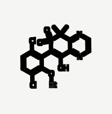 CCOc1c(Cl)ccc(Cl)c1C1=C(O)c2nccnc2C(C)(C)S1(=O)=O